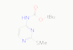 CSc1nccc(NC(=O)OC(C)(C)C)n1